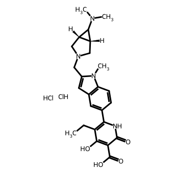 CCc1c(-c2ccc3c(c2)cc(CN2C[C@@H]4C(N(C)C)[C@@H]4C2)n3C)[nH]c(=O)c(C(=O)O)c1O.Cl.Cl